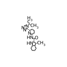 Cc1c(C(=O)Nc2cccc(-c3nncn3C(C)C)n2)[nH]c2ccccc12